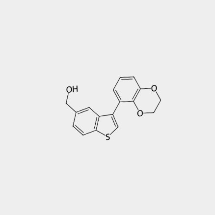 OCc1ccc2scc(-c3cccc4c3OCCO4)c2c1